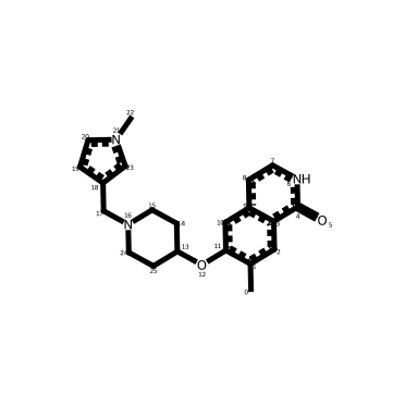 Cc1cc2c(=O)[nH]ccc2cc1OC1CCN(Cc2ccn(C)c2)CC1